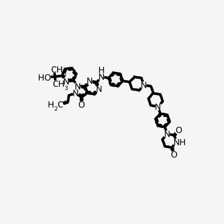 C=CCn1c(=O)c2cnc(Nc3ccc(C4CCN(CC5CCN(c6ccc(N7CCC(=O)NC7=O)cc6)CC5)CC4)cc3)nc2n1-c1cccc(C(C)(C)O)n1